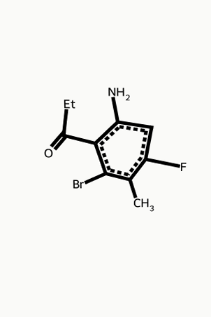 CCC(=O)c1c(N)cc(F)c(C)c1Br